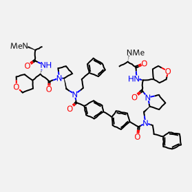 CN[C@@H](C)C(=O)N[C@H](C(=O)N1CCC[C@H]1CN(CCc1ccccc1)C(=O)c1ccc(-c2ccc(C(=O)N(CCc3ccccc3)C[C@@H]3CCCN3C(=O)[C@@H](NC(=O)[C@H](C)NC)C3CCOCC3)cc2)cc1)C1CCOCC1